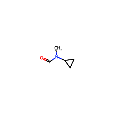 CN([C]=O)C1CC1